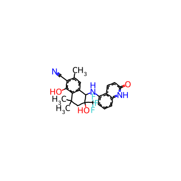 Cc1cc2c(c(O)c1C#N)C(C)(C)CC(O)(C(F)(F)F)C2Nc1cccc2[nH]c(=O)ccc12